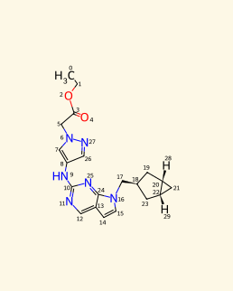 CCOC(=O)Cn1cc(Nc2ncc3ccn(C[C@H]4C[C@@H]5C[C@@H]5C4)c3n2)cn1